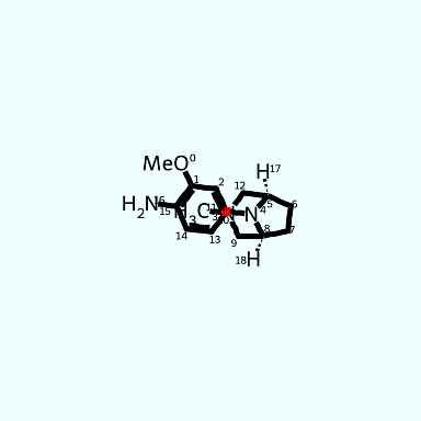 COc1cc(N2[C@@H]3CC[C@H]2CN(C)C3)ccc1N